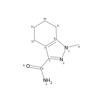 Cn1nc(C(N)=O)c2c1CCCC2